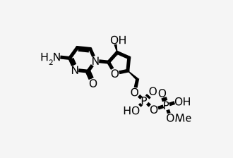 COP(=O)(O)OP(=O)(O)OC[C@@H]1C[C@H](O)C(n2ccc(N)nc2=O)O1